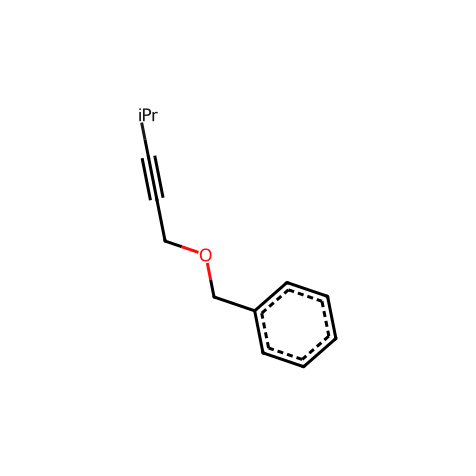 CC(C)C#CCOCc1ccccc1